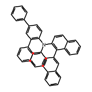 c1ccc(-c2ccc(N(c3ccccc3)c3ccc4ccccc4c3-c3ccc4ccccc4c3)c(-c3ccccc3)c2)cc1